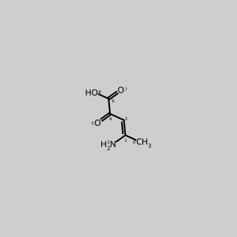 CC(N)=CC(=O)C(=O)O